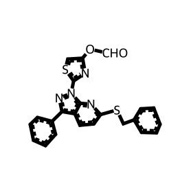 O=COc1csc(-n2nc(-c3ccccc3)c3ccc(SCc4ccccc4)nc32)n1